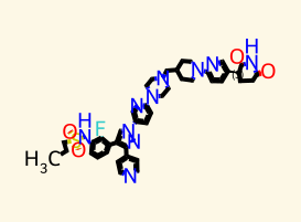 CCCS(=O)(=O)Nc1cccc(-c2cn(-c3ccc(N4CCN(CC5CCN(c6ccc([C@@H]7CCC(=O)NC7=O)cn6)CC5)CC4)nc3)nc2-c2ccncc2)c1F